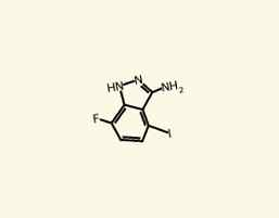 Nc1n[nH]c2c(F)ccc(I)c12